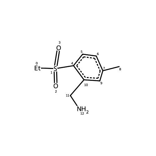 CCS(=O)(=O)c1ccc(C)cc1CN